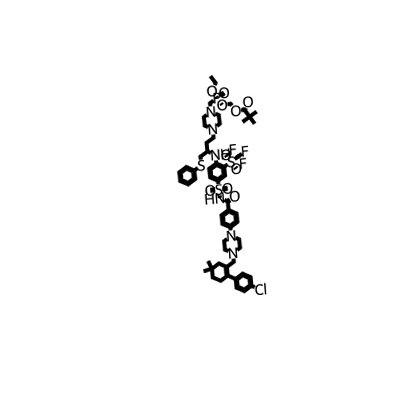 CCOP(=O)(CN1CCN(CCC(CSc2ccccc2)Nc2ccc(S(=O)(=O)NC(=O)c3ccc(N4CCN(CC5=C(c6ccc(Cl)cc6)CCC(C)(C)C5)CC4)cc3)cc2S(=O)(=O)C(F)(F)F)CC1)OCOC(=O)C(C)(C)C